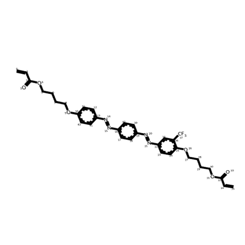 C=CC(=O)OCCCCOc1ccc(/N=N/c2ccc(/N=N/c3ccc(OCCCCOC(=O)C=C)c(C(F)(F)F)c3)cc2)cc1